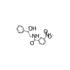 O=C(NCC(O)c1ccccc1)c1cccc([N+](=O)[O-])c1